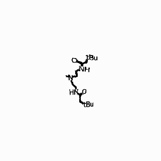 CN(CCNC(=O)CC(C)(C)C)CCNC(=O)CC(C)(C)C